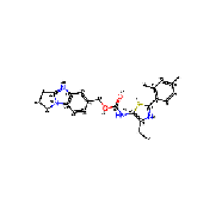 CCc1nc(-c2ccc(C)cc2C)sc1NC(=O)OCc1ccc2c(c1)nc1n2CCC1